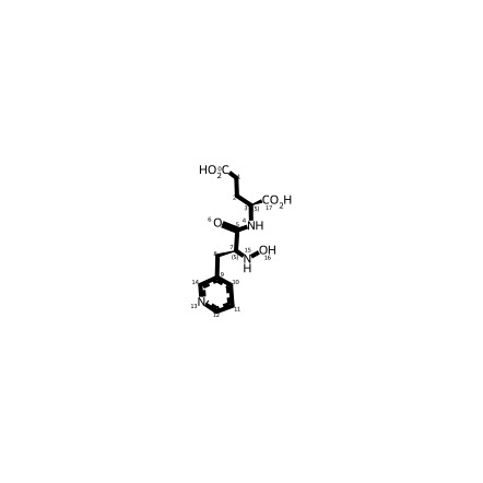 O=C(O)CC[C@H](NC(=O)[C@H](Cc1cccnc1)NO)C(=O)O